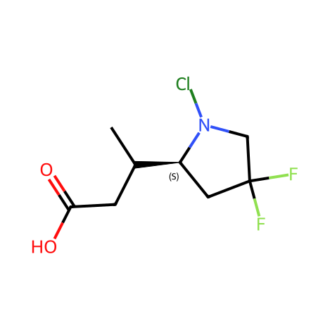 CC(CC(=O)O)[C@@H]1CC(F)(F)CN1Cl